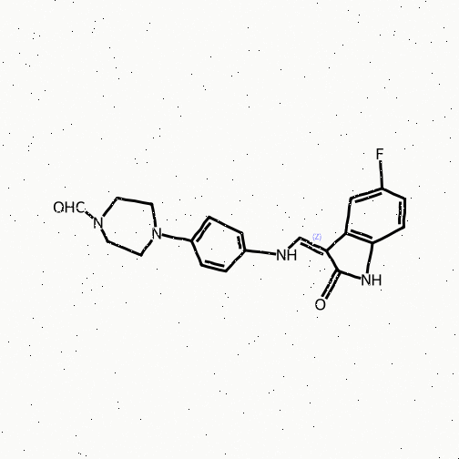 O=CN1CCN(c2ccc(N/C=C3\C(=O)Nc4ccc(F)cc43)cc2)CC1